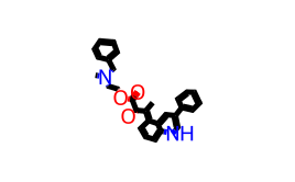 C/C(C(=O)C(=O)OCCN(C)Cc1ccccc1)=c1/cccc2c1=CC(c1ccccc1)=CN2